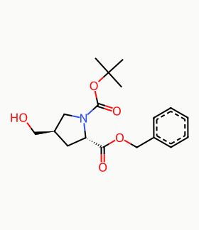 CC(C)(C)OC(=O)N1C[C@H](CO)C[C@H]1C(=O)OCc1ccccc1